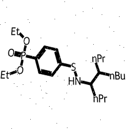 CCCCC(CCC)C(CCC)NSc1ccc(P(=O)(OCC)OCC)cc1